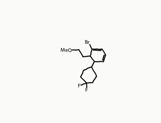 COCCC1C(Br)=CC=CC1C1CCC(F)(F)CC1